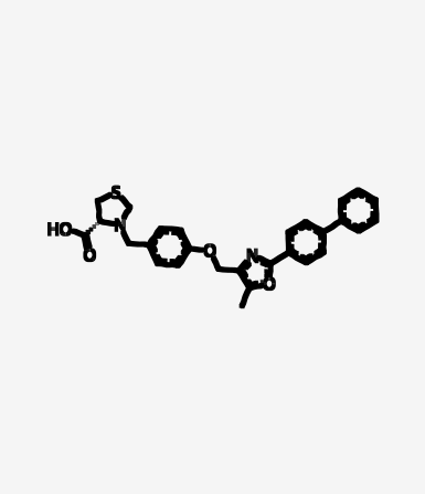 Cc1oc(-c2ccc(-c3ccccc3)cc2)nc1COc1ccc(CN2CSC[C@H]2C(=O)O)cc1